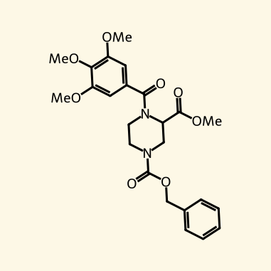 COC(=O)C1CN(C(=O)OCc2ccccc2)CCN1C(=O)c1cc(OC)c(OC)c(OC)c1